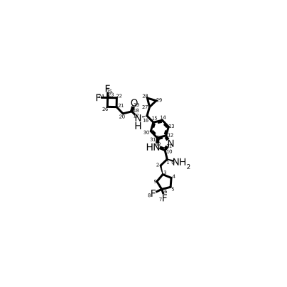 N[C@@H](C[C@H]1CCC(F)(F)C1)c1nc2ccc([C@H](NC(=O)CC3CC(F)(F)C3)C3CC3)cc2[nH]1